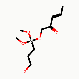 CC=CC(=O)CO[Si](CCCO)(OC)OC